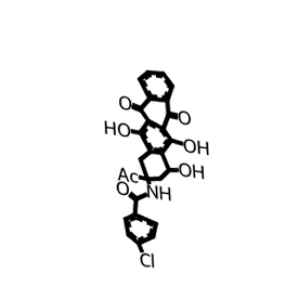 CC(=O)C1(NC(=O)c2ccc(Cl)cc2)Cc2c(O)c3c(c(O)c2C(O)C1)C(=O)c1ccccc1C3=O